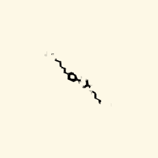 CCCC=CCCC(=O)Oc1cnc(-c2ccc(CCCCCOCCC)cc2)nc1